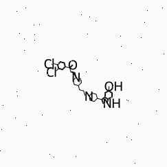 O=C(/C=C/N1CCC(CCCN2CCC(c3c[nH]c4ccc(O)cc34)CC2)CC1)c1ccc(Cl)c(Cl)c1